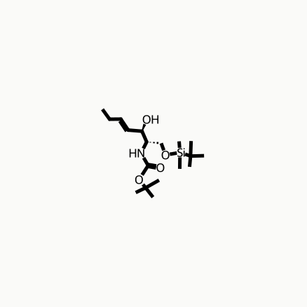 CC/C=C/[C@@H](O)[C@H](CO[Si](C)(C)C(C)(C)C)NC(=O)OC(C)(C)C